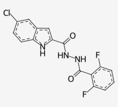 O=C(NNC(=O)c1c(F)cccc1F)c1cc2cc(Cl)ccc2[nH]1